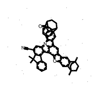 CC12CCC(C)(CC1)c1cc3c(cc12)oc1c3cc2c3cc4c(cc3n3c5cc(C#N)c6c(c5c1c23)-c1ccccc1C6(C)C)C(=O)C1CCC4c2ccccc21